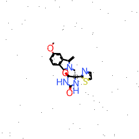 C=C1c2cc(OC)ccc2CN1C[C@]1(c2nccs2)NC(=O)NC1=O